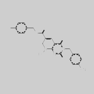 CN1CC(C(=O)OCc2ccc(F)cc2)=Cc2c1[nH]c(=O)n(Cc1ccc(C#N)cc1)c2=O